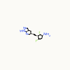 Nc1ccc(F)c(C#Cc2cnc3[nH]ncc3c2)c1F